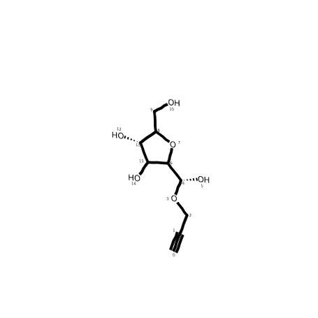 C#CCO[C@@H](O)C1OC(CO)[C@@H](O)C1O